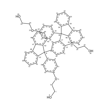 OCCOc1ccc(C2(c3ccc(OCCO)c(C4(c5ccc(OCCO)cc5)c5ccccc5-c5ccccc54)c3)c3ccccc3-c3ccccc32)cc1